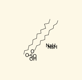 CCCCCCCCCCCCCC.CCCCCCCCCCCCOS(=O)(=O)O.[NaH].[NaH]